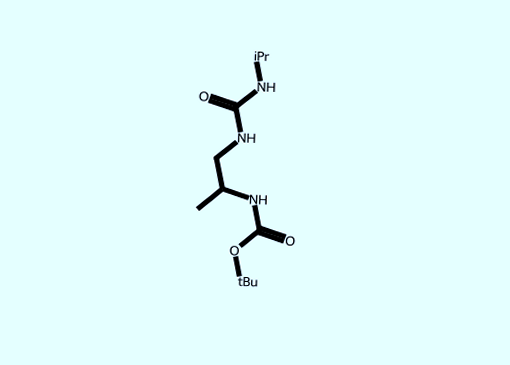 CC(C)NC(=O)NCC(C)NC(=O)OC(C)(C)C